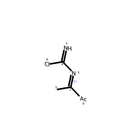 CC(=O)/C(C)=N/C(=N)Cl